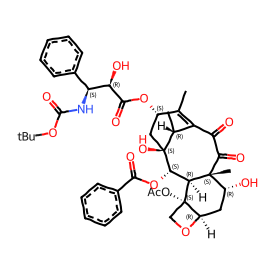 CC(=O)O[C@@]12CO[C@@H]1C[C@@H](O)[C@@]1(C)C(=O)C(=O)C3=C(C)[C@@H](OC(=O)[C@H](O)[C@@H](NC(=O)OC(C)(C)C)c4ccccc4)C[C@](O)([C@@H]3C)[C@@H](OC(=O)c3ccccc3)[C@H]21